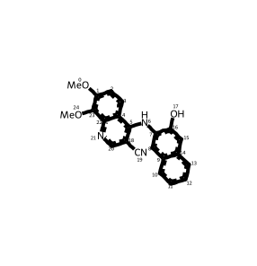 COc1ccc2c(Nc3cc4ccccc4cc3O)c(C#N)cnc2c1OC